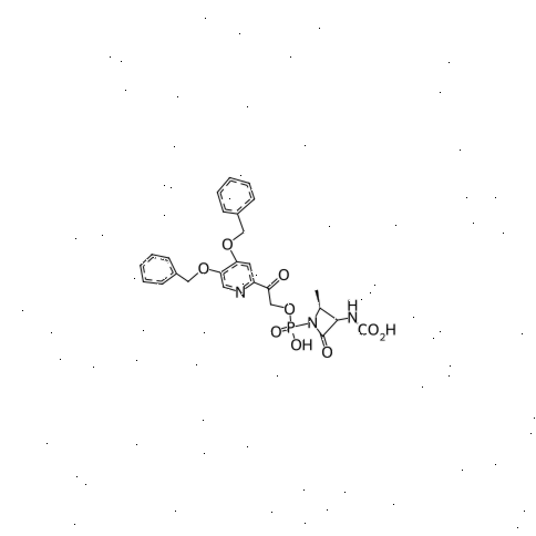 C[C@H]1C(NC(=O)O)C(=O)N1P(=O)(O)OCC(=O)c1cc(OCc2ccccc2)c(OCc2ccccc2)cn1